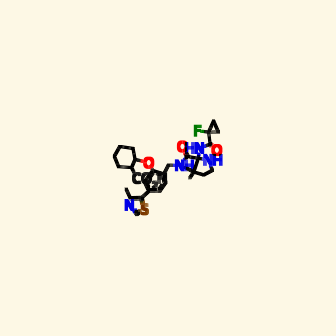 Cc1ncsc1-c1ccc(CNC(=O)[C@]2(NC(=O)C3(F)CC3)NCCC2(C)C)c(OC2CCCCC2C(=O)O)c1